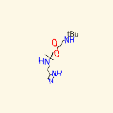 CC(C)(C)NCCC(=O)OCC(C)(C)NCCc1cnc[nH]1